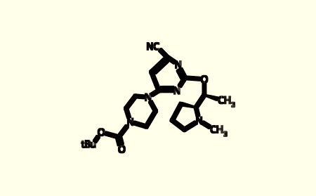 C[C@H](Oc1nc(C#N)cc(N2CCN(C(=O)OC(C)(C)C)CC2)n1)[C@@H]1CCCN1C